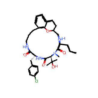 CCCC1NCC2CCc3cccc(c3O2)CCCNC(=O)[C@@H](Cc2ccc(Cl)cc2)NC(=O)[C@H](C(C)(C)O)N(C)C1=O